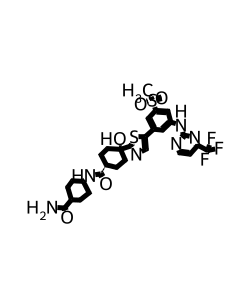 CS(=O)(=O)c1cc(Nc2nccc(C(F)(F)F)n2)cc(-c2cnc([C@]3(O)CC[C@H](C(=O)NC4CCC(C(N)=O)CC4)CC3)s2)c1